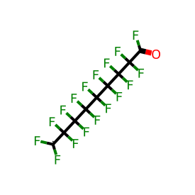 O=C(F)C(F)(F)C(F)(F)C(F)(F)C(F)(F)C(F)(F)C(F)(F)C(F)(F)[C](F)F